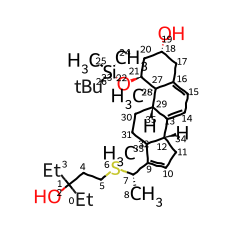 CCC(O)(CC)CCS[C@@H](C)C1=CC[C@H]2C3=CC=C4C[C@@H](O)C[C@H](O[Si](C)(C)C(C)(C)C)[C@]4(C)[C@H]3CC[C@]12C